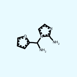 Nc1nccn1C(N)c1ccco1